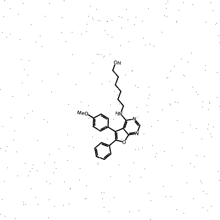 COc1ccc(-c2c(-c3ccccc3)oc3ncnc(NCCCCCCO)c23)cc1